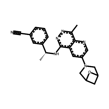 Cc1nnc(N[C@H](C)c2cccc(C#N)c2)c2cc(N3CC4CC(C3)O4)cnc12